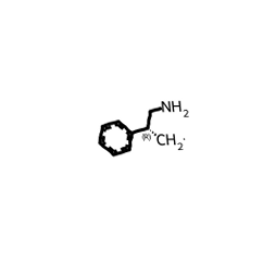 [CH2][C@@H](CN)c1ccccc1